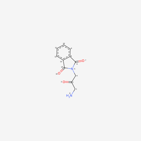 NCC(=O)CN1C(=O)c2ccccc2C1=O